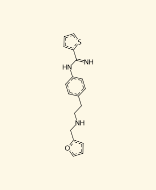 N=C(Nc1ccc(CCNCc2ccco2)cc1)c1cccs1